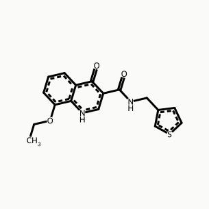 CCOc1cccc2c(=O)c(C(=O)NCc3ccsc3)c[nH]c12